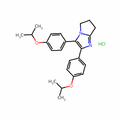 CC(C)Oc1ccc(-c2nc3n(c2-c2ccc(OC(C)C)cc2)CCC3)cc1.Cl